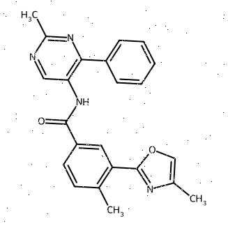 Cc1coc(-c2cc(C(=O)Nc3cnc(C)nc3-c3ccccc3)ccc2C)n1